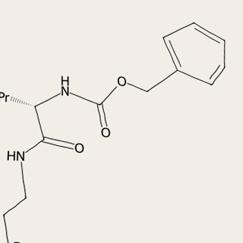 CCCCCCCCCCCCNC(=O)[C@@H](NC(=O)OCc1ccccc1)C(C)C